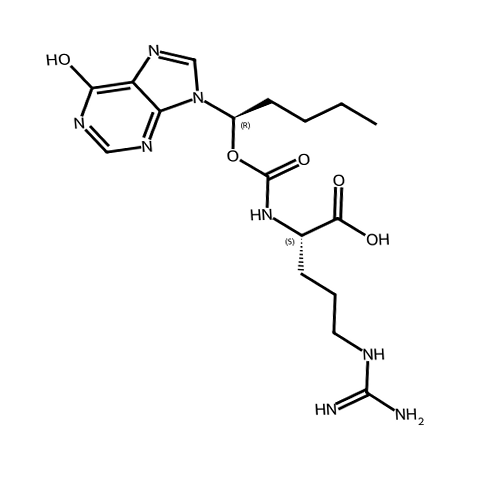 CCCC[C@@H](OC(=O)N[C@@H](CCCNC(=N)N)C(=O)O)n1cnc2c(O)ncnc21